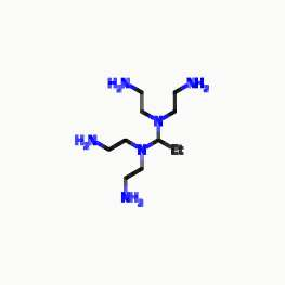 CCC(N(CCN)CCN)N(CCN)CCN